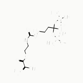 C=C(C)C(=O)OCCNC(=O)O[SiH2]CCC(C)(O[Si](C)(C)C)O[Si](C)(C)C